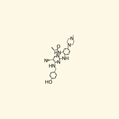 C=CC(=O)Nc1cc(N2CCN(C)CC2)ccc1Nc1ncc(C#N)c(NCc2ccc(O)cc2)n1